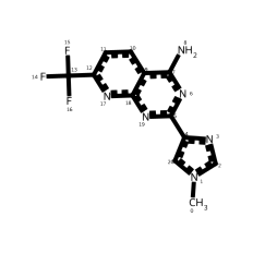 Cn1cnc(-c2nc(N)c3ccc(C(F)(F)F)nc3n2)c1